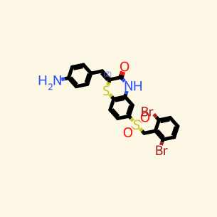 Nc1ccc(/C=C2\Sc3ccc(S(=O)(=O)Cc4c(Br)cccc4Br)cc3NC2=O)cc1